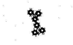 Fc1ccccc1N(c1ccccc1)c1ccc(-c2ccc3c(c2)c2ccccc2n3-c2ccccc2)cc1